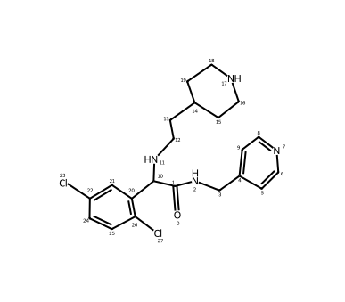 O=C(NCc1ccncc1)C(NCCC1CCNCC1)c1cc(Cl)ccc1Cl